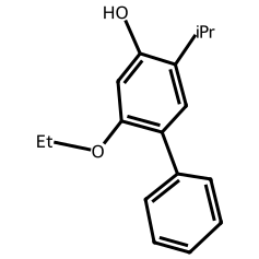 CCOc1cc(O)c(C(C)C)cc1-c1ccccc1